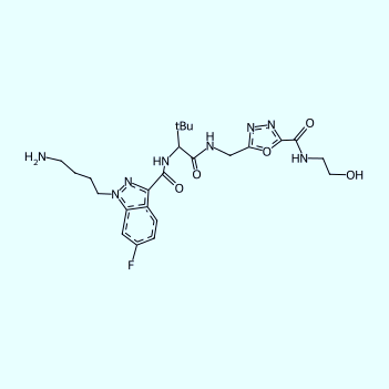 CC(C)(C)C(NC(=O)c1nn(CCCCN)c2cc(F)ccc12)C(=O)NCc1nnc(C(=O)NCCO)o1